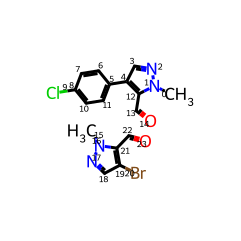 Cn1ncc(-c2ccc(Cl)cc2)c1C=O.Cn1ncc(Br)c1C=O